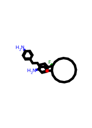 Nc1ccc(CCCCCC2CCCCCCCCCCCCCCC2(F)c2ccc(N)cc2)cc1